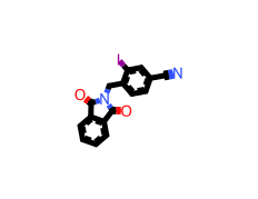 N#Cc1ccc(CN2C(=O)c3ccccc3C2=O)c(I)c1